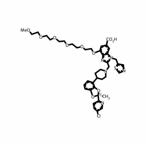 COCCOCCOCCOCCOCCOc1cc(C(=O)O)cc2c1nc(CN1CCC(c3cccc4c3O[C@@](C)(c3ccc(Cl)cn3)O4)CC1)n2Cc1cncs1